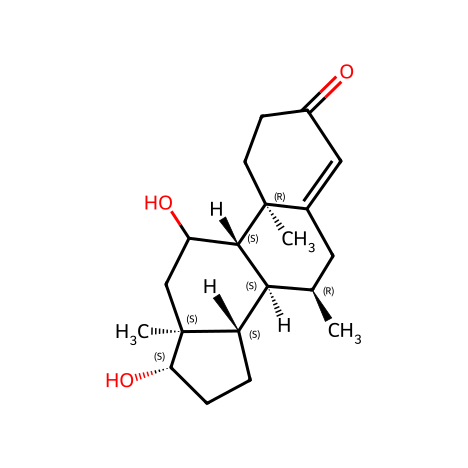 C[C@@H]1CC2=CC(=O)CC[C@]2(C)[C@H]2C(O)C[C@]3(C)[C@@H](O)CC[C@H]3[C@H]12